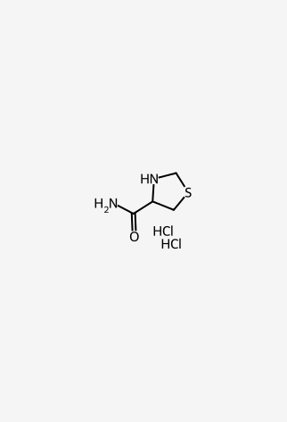 Cl.Cl.NC(=O)C1CSCN1